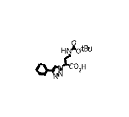 CC(C)(C)OC(=O)NCCC(C(=O)O)n1cc(-c2ccccc2)nn1